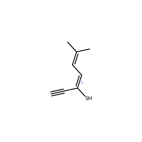 C#C/C(S)=C\C=C(C)C